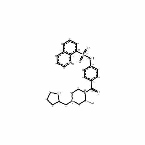 C[C@@H]1CN(CC2CCCO2)CCN1C(=O)c1ccc(NS(=O)(=O)c2cccc3cccnc23)cc1